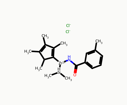 CC1=C(C)C(C)[C]([Zr+2]([NH]C(=O)c2cccc(C)c2)[SiH](C)C)=C1C.[Cl-].[Cl-]